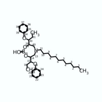 CCCCCCCCCCCCN1CC(C(CC)Oc2ccccc2)OB(O)OC(C(CC)Oc2ccccc2)C1